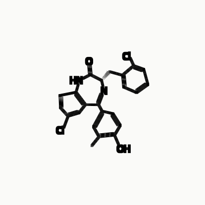 Cc1cc(C2=N[C@@H](Cc3ccccc3Cl)C(=O)Nc3ccc(Cl)cc32)ccc1O